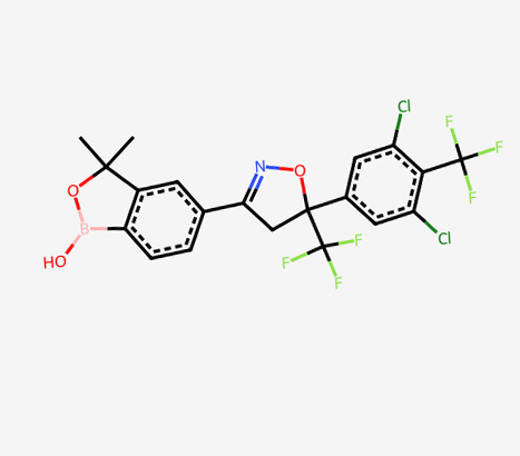 CC1(C)OB(O)c2ccc(C3=NOC(c4cc(Cl)c(C(F)(F)F)c(Cl)c4)(C(F)(F)F)C3)cc21